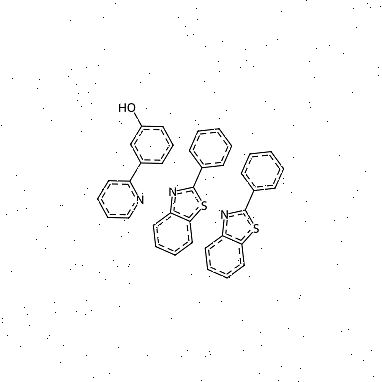 Oc1cccc(-c2ccccn2)c1.c1ccc(-c2nc3ccccc3s2)cc1.c1ccc(-c2nc3ccccc3s2)cc1